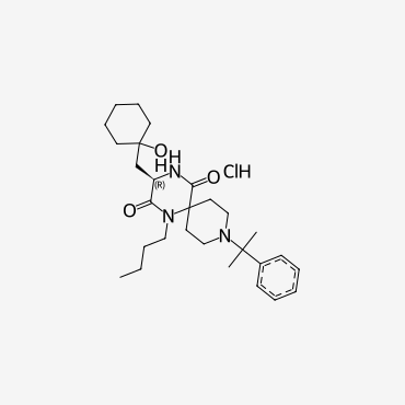 CCCCN1C(=O)[C@@H](CC2(O)CCCCC2)NC(=O)C12CCN(C(C)(C)c1ccccc1)CC2.Cl